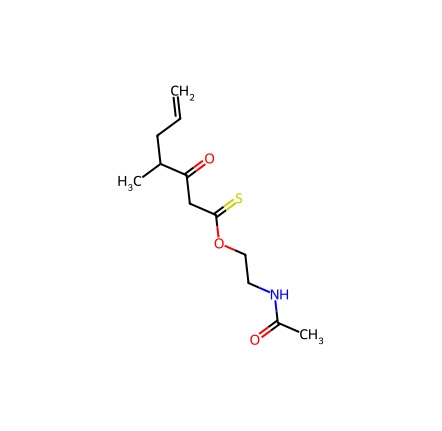 C=CCC(C)C(=O)CC(=S)OCCNC(C)=O